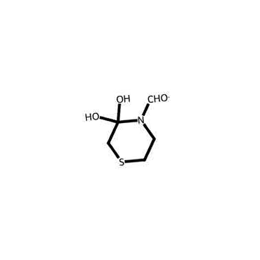 O=[C]N1CCSCC1(O)O